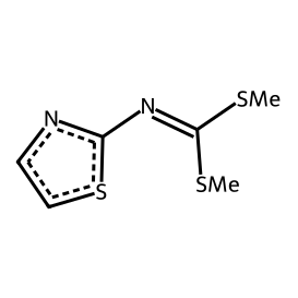 CSC(=Nc1nccs1)SC